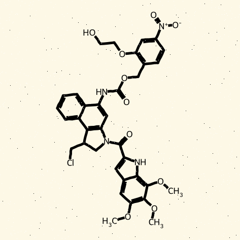 COc1cc2cc(C(=O)N3CC(CCl)c4c3cc(NC(=O)OCc3ccc([N+](=O)[O-])cc3OCCO)c3ccccc43)[nH]c2c(OC)c1OC